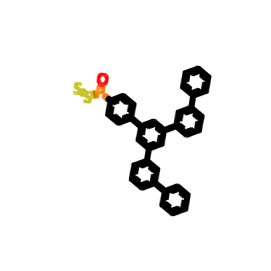 O=P(=S=S)c1ccc(-c2cc(-c3cccc(-c4ccccc4)c3)cc(-c3cccc(-c4ccccc4)c3)c2)cc1